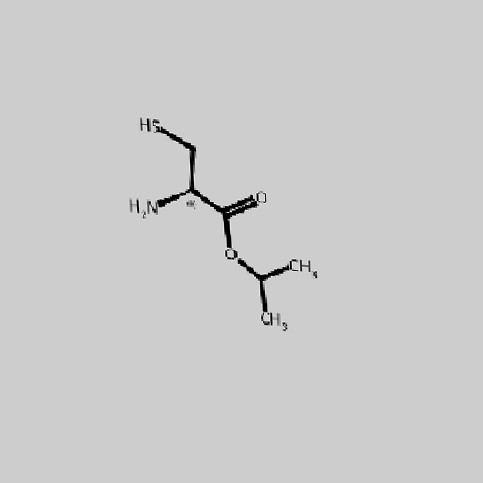 CC(C)OC(=O)[C@@H](N)CS